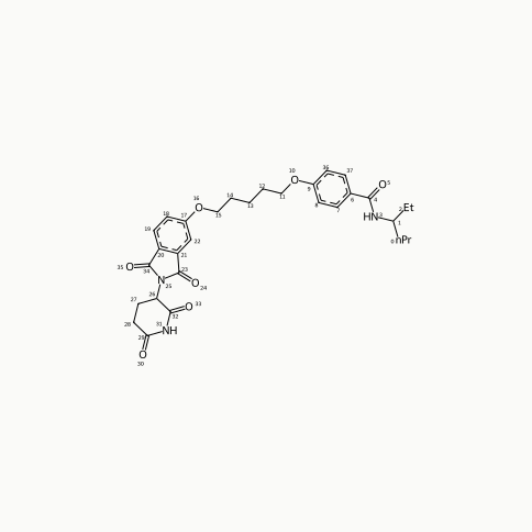 CCCC(CC)NC(=O)c1ccc(OCCCCCOc2ccc3c(c2)C(=O)N(C2CCC(=O)NC2=O)C3=O)cc1